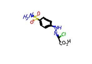 NS(=O)(=O)c1ccc(NN=C(Cl)C(=O)O)cc1